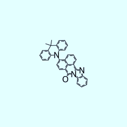 CC1(C)c2ccccc2N(c2ccc3c(=O)n4c5ccccc5nc4c4cccc2c34)c2ccccc21